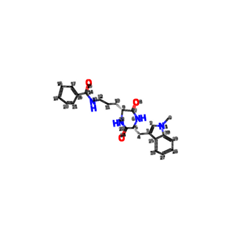 Cn1cc(C[C@H]2NC(=O)[C@@H](CCCNC(=O)c3ccccc3)NC2=O)c2ccccc21